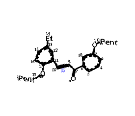 CCCC(C)Oc1cccc(C(=O)/C=C/c2cc(CC)ccc2OC(C)CCC)c1